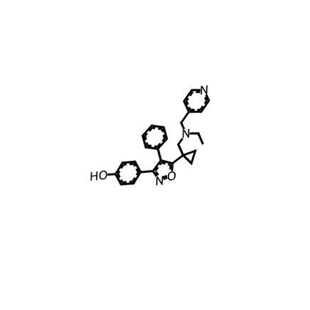 CCN(Cc1ccncc1)CC1(c2onc(-c3ccc(O)cc3)c2-c2ccccc2)CC1